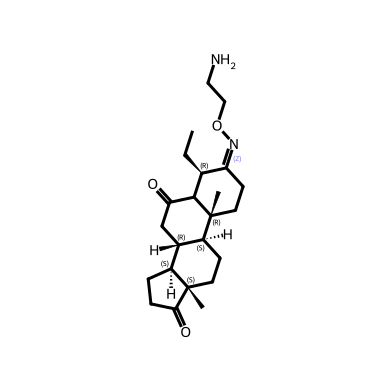 CC[C@H]1/C(=N\OCCN)CC[C@@]2(C)C1C(=O)C[C@@H]1[C@@H]2CC[C@]2(C)C(=O)CC[C@@H]12